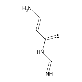 N=CNC(=S)/C=C/N